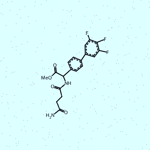 COC(=O)C(NC(=O)CCC(N)=O)c1ccc(-c2cc(F)c(F)c(F)c2)cc1